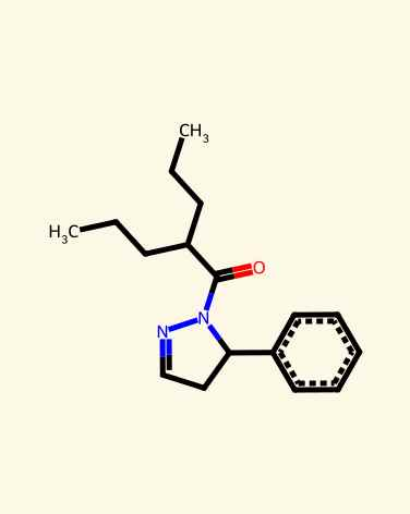 CCCC(CCC)C(=O)N1N=CCC1c1ccccc1